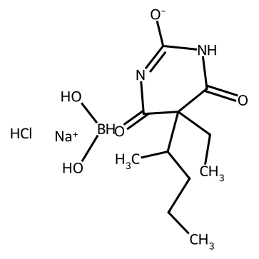 CCCC(C)C1(CC)C(=O)N=C([O-])NC1=O.Cl.OBO.[Na+]